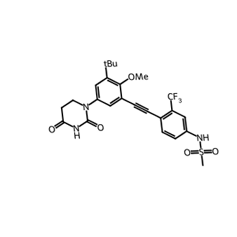 COc1c(C#Cc2ccc(NS(C)(=O)=O)cc2C(F)(F)F)cc(N2CCC(=O)NC2=O)cc1C(C)(C)C